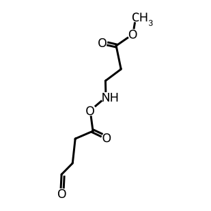 COC(=O)CCNOC(=O)CCC=O